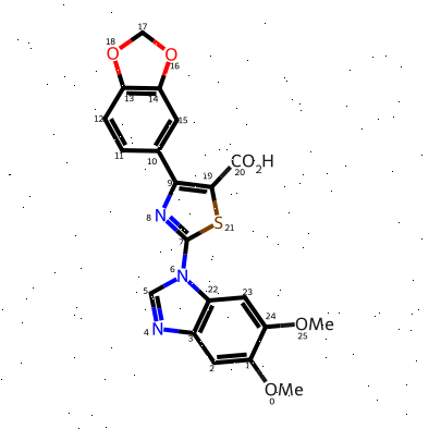 COc1cc2ncn(-c3nc(-c4ccc5c(c4)OCO5)c(C(=O)O)s3)c2cc1OC